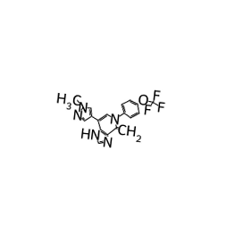 C=C1c2nc[nH]c2C(c2cnn(C)c2)=CN1c1ccc(OC(F)(F)F)cc1